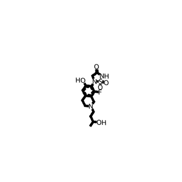 CC(O)CCN1CCc2cc(O)c(N3CC(=O)NS3(=O)=O)c(F)c2C1